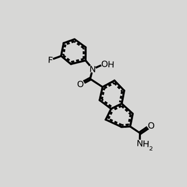 NC(=O)c1ccc2cc(C(=O)N(O)c3cccc(F)c3)ccc2c1